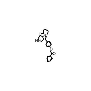 O=C(COc1ccc(CC[N+]2(C3CCNCC3)CCCCC2=O)cc1)c1ccccc1